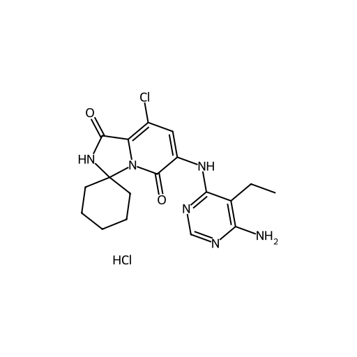 CCc1c(N)ncnc1Nc1cc(Cl)c2n(c1=O)C1(CCCCC1)NC2=O.Cl